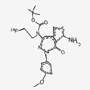 COc1ccc(-n2nc(N(CC[18F])C(=O)OC(C)(C)C)c3csc(N)c3c2=O)cc1